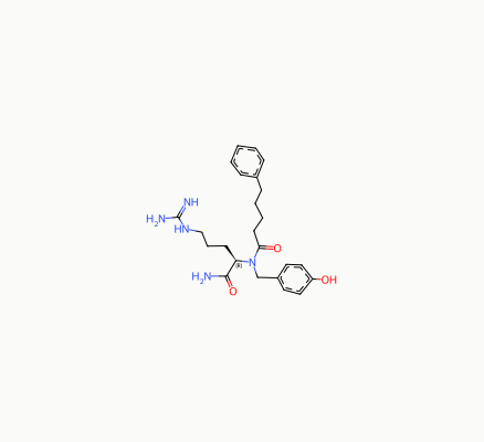 N=C(N)NCCC[C@H](C(N)=O)N(Cc1ccc(O)cc1)C(=O)CCCCc1ccccc1